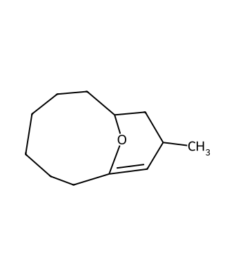 CC1C=C2CCCCCCC(C1)O2